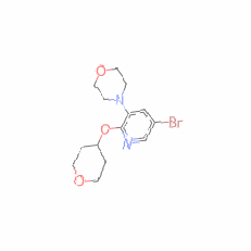 Brc1cnc(OC2CCOCC2)c(N2CCOCC2)c1